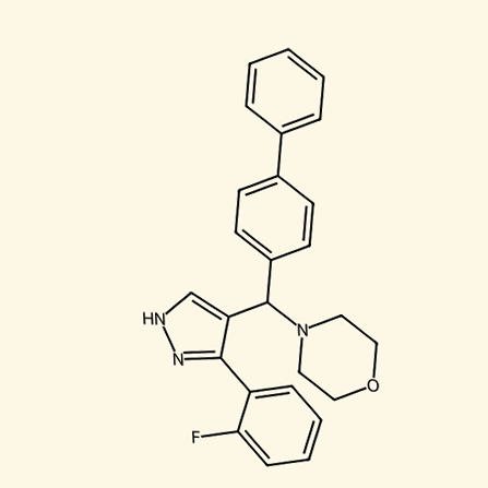 Fc1ccccc1-c1n[nH]cc1C(c1ccc(-c2ccccc2)cc1)N1CCOCC1